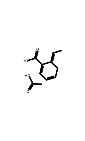 CC(=O)O.CC=C1CC=CC=C1C(=O)O